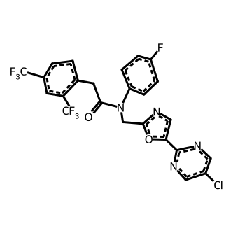 O=C(Cc1ccc(C(F)(F)F)cc1C(F)(F)F)N(Cc1ncc(-c2ncc(Cl)cn2)o1)c1ccc(F)cc1